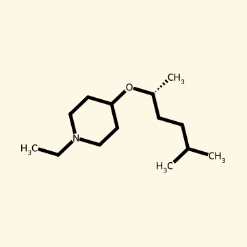 CCN1CCC(O[C@H](C)CCC(C)C)CC1